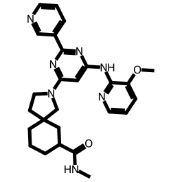 CNC(=O)C1CCCC2(CCN(c3cc(Nc4ncccc4OC)nc(-c4cccnc4)n3)C2)C1